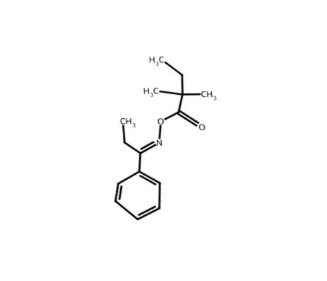 CC/C(=N\OC(=O)C(C)(C)CC)c1ccccc1